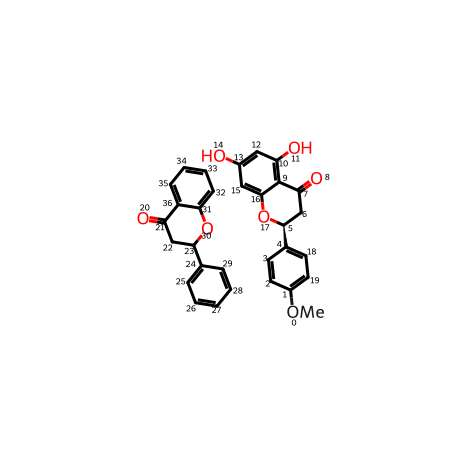 COc1ccc([C@@H]2CC(=O)c3c(O)cc(O)cc3O2)cc1.O=C1CC(c2ccccc2)Oc2ccccc21